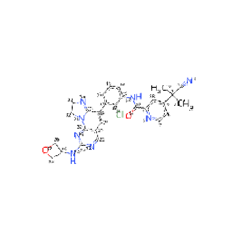 CC(C)(C#N)c1ccnc(C(=O)Nc2cccc(C3=Cc4cnc(NC5COC5)nc4N4CCN=C34)c2Cl)c1